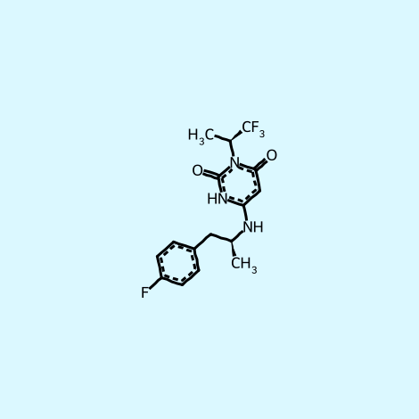 C[C@H](n1c(=O)cc(N[C@@H](C)Cc2ccc(F)cc2)[nH]c1=O)C(F)(F)F